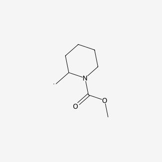 [CH2]C1CCCCN1C(=O)OC